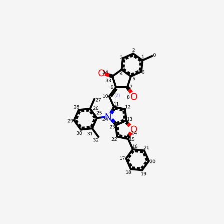 Cc1ccc2c(c1)C(=O)/C(=C\c1cc3oc(-c4ccccc4)cc3n1-c1c(C)cccc1C)C2=O